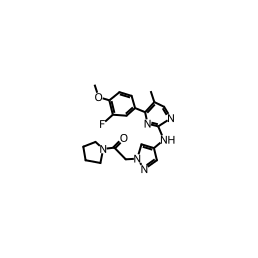 COc1ccc(-c2nc(Nc3cnn(CC(=O)N4CCCC4)c3)ncc2C)cc1F